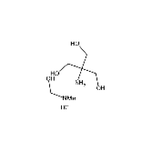 CNCO.Cl.NC(CO)(CO)CO